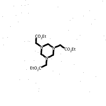 CCOC(=O)CN1CN(CC(=O)OCC)CN(CC(=O)OCC)C1